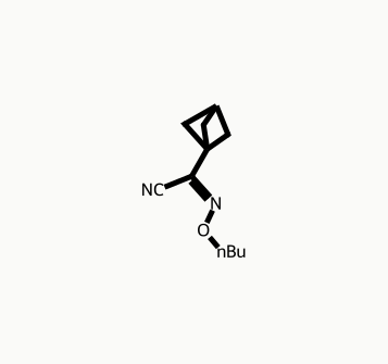 CCCCON=C(C#N)C12CC(C1)C2